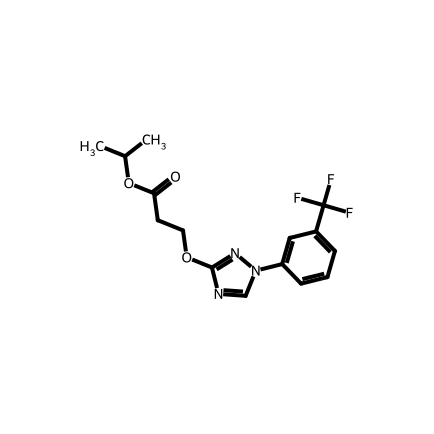 CC(C)OC(=O)CCOc1ncn(-c2cccc(C(F)(F)F)c2)n1